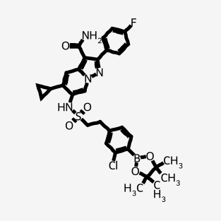 CC1(C)OB(c2ccc(CCS(=O)(=O)Nc3cn4nc(-c5ccc(F)cc5)c(C(N)=O)c4cc3C3CC3)cc2Cl)OC1(C)C